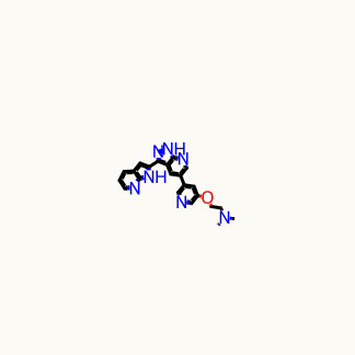 CN(C)CCOc1cncc(-c2cnc3[nH]nc(-c4cc5cccnc5[nH]4)c3c2)c1